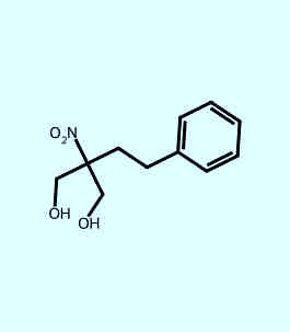 O=[N+]([O-])C(CO)(CO)CCc1ccccc1